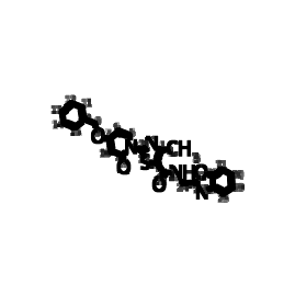 Cc1nc(-n2ccc(OCc3ccccc3)cc2=O)sc1C(=O)NCc1nc2ccccc2o1